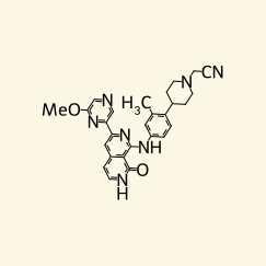 COc1cncc(-c2cc3cc[nH]c(=O)c3c(Nc3ccc(C4CCN(CC#N)CC4)c(C)c3)n2)n1